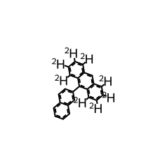 [2H]c1c([2H])c([2H])c2c(-c3ccc4ccccc4c3)c3c([2H])c([2H])c([2H])c([2H])c3cc2c1[2H]